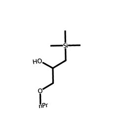 [CH2]CCOCC(O)C[Si](C)(C)C